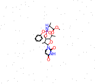 COC(=O)C(C)NP(=O)(Oc1ccccc1)OC(C)[C@H]1O[C@@H](n2ccc(=O)[nH]c2=O)C(C)C1C